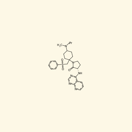 CC(C)N(C)C1CCC(CS(=O)(=O)c2ccccc2)(N2CC[C@H](Nc3ncnc4ncccc34)C2=O)CC1